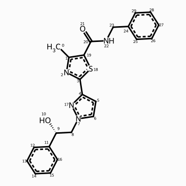 Cc1nc(-c2ccn(C[C@@H](O)c3ccccc3)n2)sc1C(=O)NCc1ccccc1